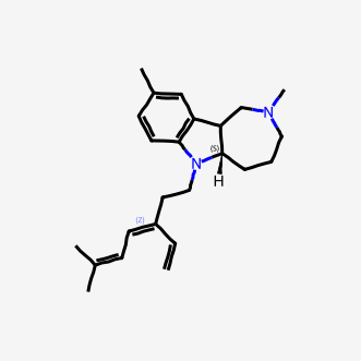 C=C/C(=C\C=C(C)C)CCN1c2ccc(C)cc2C2CN(C)CCC[C@@H]21